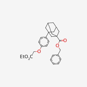 CCOC(=O)COc1ccc(C23CC4CC(CC(C(=O)OCc5ccccc5)(C4)C2)C3)cc1